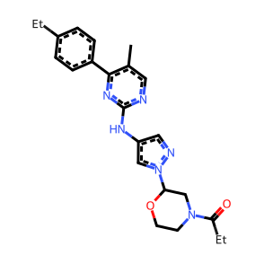 CCC(=O)N1CCOC(n2cc(Nc3ncc(C)c(-c4ccc(CC)cc4)n3)cn2)C1